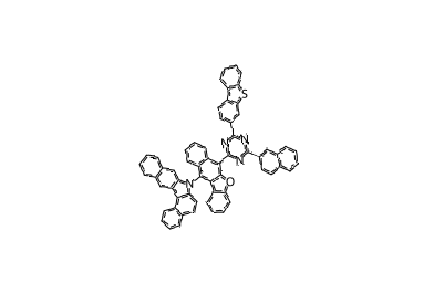 c1ccc2cc(-c3nc(-c4ccc5c(c4)sc4ccccc45)nc(-c4c5ccccc5c(-n5c6cc7ccccc7cc6c6c7ccccc7ccc65)c5c4oc4ccccc45)n3)ccc2c1